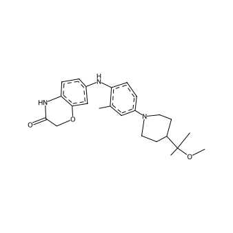 COC(C)(C)C1CCN(c2ccc(Nc3ccc4c(c3)OCC(=O)N4)c(C)c2)CC1